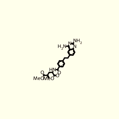 C=C(CC(NC(=O)c1ccc(CCc2ccc3nc(N)nc(N)c3c2)cc1)C(=O)OC)C(=O)OC